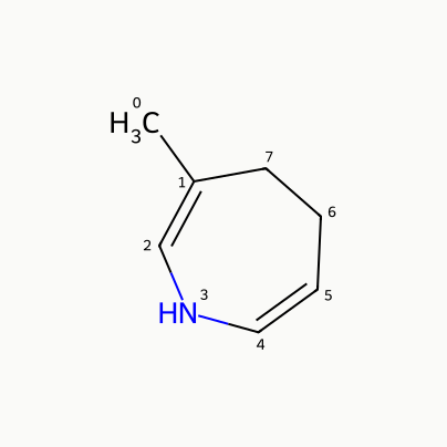 CC1=CNC=CCC1